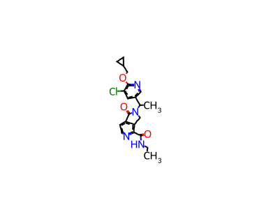 CCNC(=O)c1nccc2c1CN(C(C)c1cnc(OCC3CC3)c(Cl)c1)C2=O